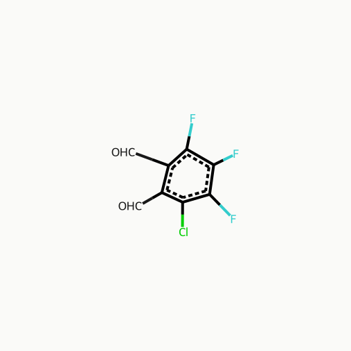 O=Cc1c(F)c(F)c(F)c(Cl)c1C=O